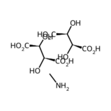 CN.O=C(O)[C@@H](O)[C@H](O)C(=O)O.O=C(O)[C@@H](O)[C@H](O)C(=O)O